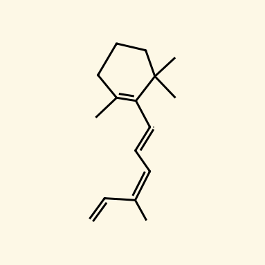 C=CC(C)=C/C=[C]/C1=C(C)CCCC1(C)C